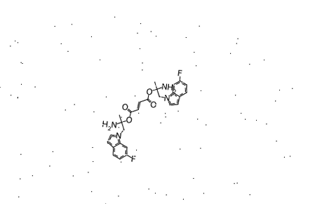 CC(N)(Cn1ccc2ccc(F)cc21)OC(=O)/C=C/C(=O)OC(C)(N)Cn1ccc2ccc(F)cc21